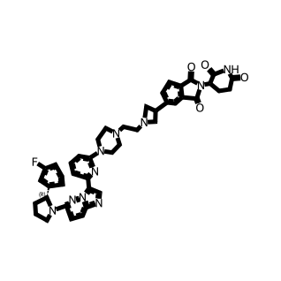 O=C1CCC(N2C(=O)c3ccc(C4CN(CCN5CCN(c6cccc(-c7cnc8ccc(N9CCC[C@@H]9c9cccc(F)c9)nn78)n6)CC5)C4)cc3C2=O)C(=O)N1